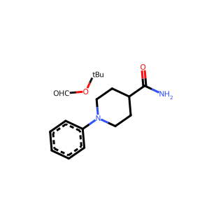 CC(C)(C)OC=O.NC(=O)C1CCN(c2ccccc2)CC1